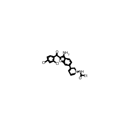 CCC(=O)NN1C=CC=C(c2ccc3c(N)c(C(=O)c4ccc(Cl)cc4Cl)oc3c2)C1